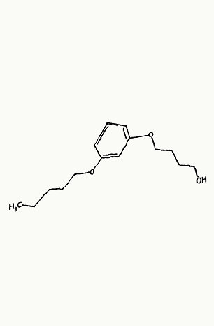 CCCCCOc1cccc(OCCCCO)c1